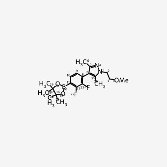 COCCn1nc(C)c(-c2ccc(B3OC(C)(C)C(C)(C)O3)c(F)c2F)c1C